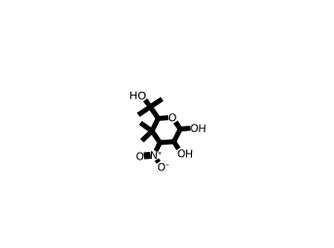 CC(C)(O)C1OC(O)C(O)C([N+](=O)[O-])C1(C)C